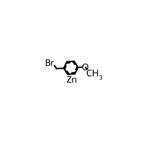 COc1ccc(CBr)cc1.[Zn]